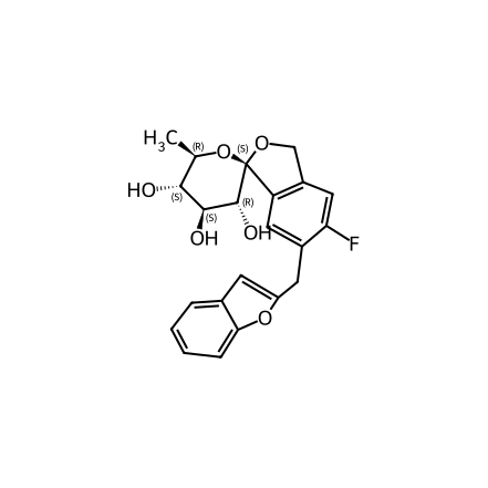 C[C@H]1O[C@]2(OCc3cc(F)c(Cc4cc5ccccc5o4)cc32)[C@H](O)[C@@H](O)[C@@H]1O